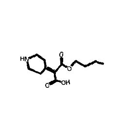 CCCCOC(=O)C(C(=O)O)=C1CCNCC1